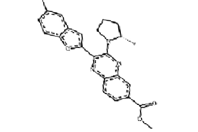 COC(=O)c1ccc2nc(-c3cc4cc(C)ccc4o3)c(N3CCC[C@@H]3C)nc2c1